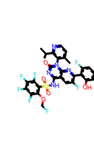 Cc1ccnc(C(C)C)c1-n1c(=O)nc(NS(=O)(=O)c2c(F)c(F)c(F)c(F)c2OCF)c2cc(F)c(-c3c(O)cccc3F)nc21